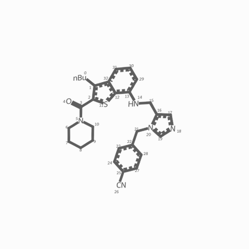 CCCCc1c(C(=O)N2CCCCC2)sc2c(NCc3cncn3Cc3ccc(C#N)cc3)cccc12